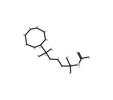 C=C(C)OC(C)(C)CCCC(C)(C)C1CCCCCCC1